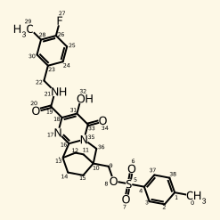 Cc1ccc(S(=O)(=O)OCC23CC[C](CC2)c2nc(C(=O)NCc4ccc(F)c(C)c4)c(O)c(=O)n2C3)cc1